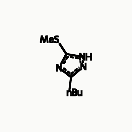 CCCCc1n[nH]c(SC)n1